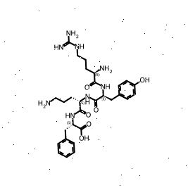 N=C(N)NCCC[C@@H](N)C(=O)N[C@@H](Cc1ccc(O)cc1)C(=O)N[C@@H](CCCN)C(=O)N[C@@H](Cc1ccccc1)C(=O)O